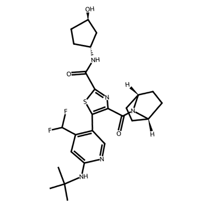 CC(C)(C)Nc1cc(C(F)F)c(-c2sc(C(=O)N[C@@H]3CC[C@@H](O)C3)nc2C(=O)N2[C@H]3CC[C@@H]2CC3)cn1